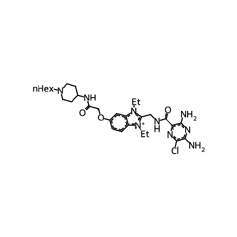 CCCCCCN1CCC(NC(=O)COc2ccc3c(c2)n(CC)c(CNC(=O)c2nc(Cl)c(N)nc2N)[n+]3CC)CC1